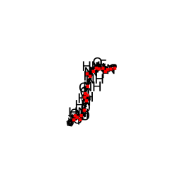 CC(C)C[C@H](NC(=O)[C@@H](O)[C@H](C)Cc1ccccc1)C(=O)NCCOCCN1C[C@H]2C[C@@H](OCC(=O)NCCCNc3cc(N4CCC5(CC4)CN(c4cc(F)c(CN6CCC(C)(C)CC6)cc4F)CC(=O)N5)ncn3)C[C@H]2C1